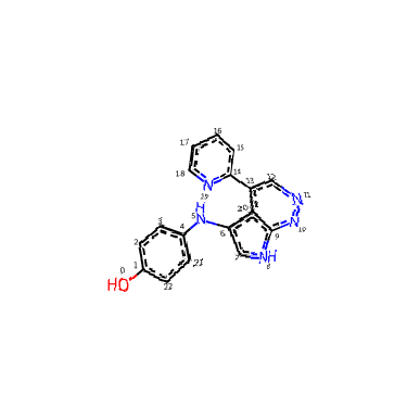 Oc1ccc(Nc2c[nH]c3nncc(-c4ccccn4)c23)cc1